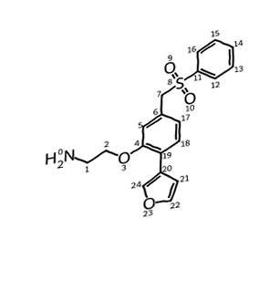 NCCOc1cc(CS(=O)(=O)c2ccccc2)ccc1-c1ccoc1